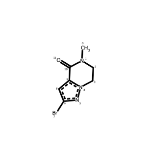 CN1CCn2nc(Br)cc2C1=O